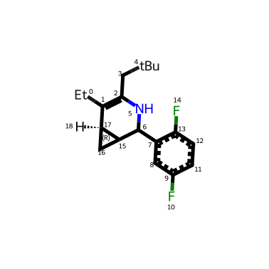 CCC1=C(CC(C)(C)C)NC(c2cc(F)ccc2F)C2C[C@@H]12